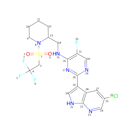 O=S(=O)(CC(F)(F)F)N1CCCCC1CNc1nc(-c2c[nH]c3ncc(Cl)cc23)ncc1F